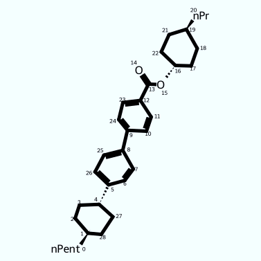 CCCCC[C@H]1CC[C@H](c2ccc(-c3ccc(C(=O)O[C@H]4CC[C@H](CCC)CC4)cc3)cc2)CC1